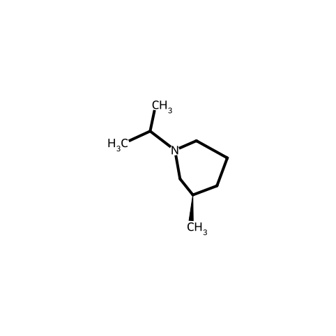 CC(C)N1CCC[C@@H](C)C1